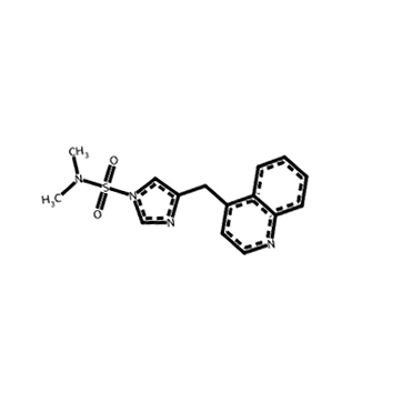 CN(C)S(=O)(=O)n1cnc(Cc2ccnc3ccccc23)c1